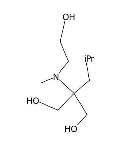 CC(C)CC(CO)(CO)N(C)CCO